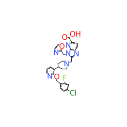 O=C(O)c1ccc2nc(CN3CCC(c4cccnc4OCc4ccc(Cl)cc4F)CC3)n(Cc3ncco3)c2n1